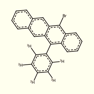 [2H]c1c([2H])c([2H])c(-c2c3ccccc3c(Br)c3cc4ccccc4cc23)c([2H])c1[2H]